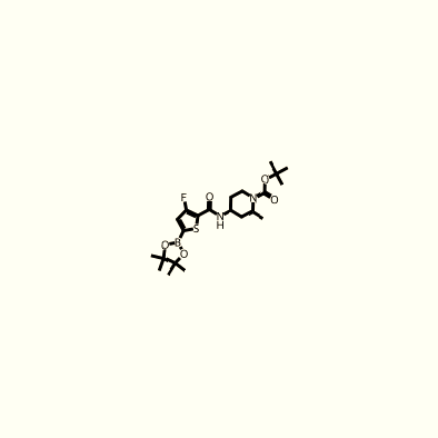 CC1CC(NC(=O)c2sc(B3OC(C)(C)C(C)(C)O3)cc2F)CCN1C(=O)OC(C)(C)C